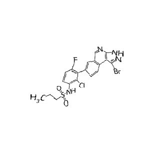 CCCS(=O)(=O)Nc1ccc(F)c(-c2ccc3c(cnc4[nH]nc(Br)c43)c2)c1Cl